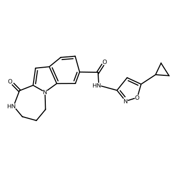 O=C(Nc1cc(C2CC2)on1)c1ccc2cc3n(c2c1)CCCNC3=O